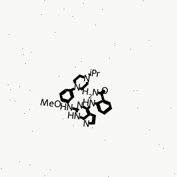 COc1ccc(N2CCN(C(C)C)CC2)cc1Nc1nc(Nc2ccccc2C(N)=O)c2ccnc-2[nH]1